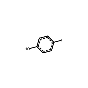 Oc1c[c]c(F)cc1